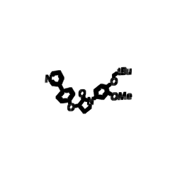 COc1cc(N2CCC(Oc3ccc(-c4cccnc4)cc3)C2=O)ccc1OCC(C)(C)C